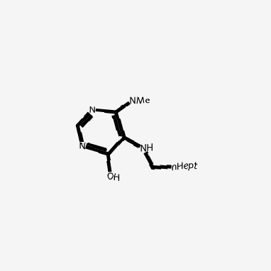 CCCCCCCCNc1c(O)ncnc1NC